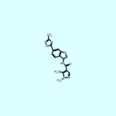 Cc1noc(-c2ccc3c(c2)OCC3NC(=O)c2cnn(C)c2C)n1